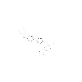 O=C(c1ccc(-c2cc(Cl)c(CC3CN(N4CCCC4=O)CCC3O)c(Cl)c2)cc1)N1CCOCC1